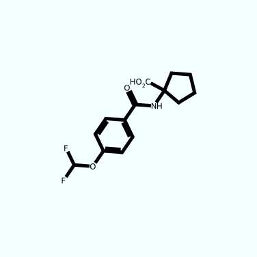 O=C(NC1(C(=O)O)CCCC1)c1ccc(OC(F)F)cc1